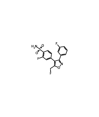 NS(=O)(=O)c1ccc(-c2c(-c3cccc(F)c3)noc2CF)cc1F